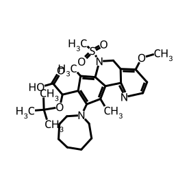 COc1ccnc2c1CN(S(C)(=O)=O)c1c(C)c(C(OC(C)(C)C)C(=O)O)c(N3CCCCCCC3)c(C)c1-2